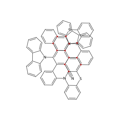 N#Cc1c(-c2ccccc2N2c3ccccc3Sc3ccccc32)c(-n2c3ccccc3c3ccccc32)c(-c2ccccc2)c(-n2c3ccccc3c3ccccc32)c1-c1ccccc1N1c2ccccc2Sc2ccccc21